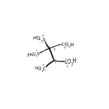 O=C(O)C(C(=O)O)C(C(=O)O)(S(=O)(=O)O)S(=O)(=O)O